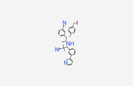 C[C@H](NC(c1cccc(-c2cccnc2)c1)C(C)(C)C#N)[C@@H](Cc1ccc(CI)cc1)c1cccc(C#N)c1